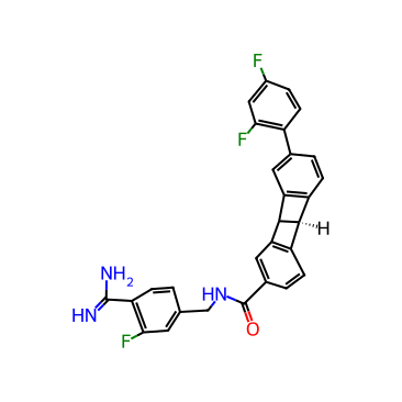 N=C(N)c1ccc(CNC(=O)c2ccc3c(c2)C2c4cc(-c5ccc(F)cc5F)ccc4[C@@H]32)cc1F